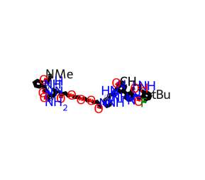 CNCC(=O)N[C@H](C(=O)N1C[C@@H](NC(=O)CCOCCOCCOCCC(=O)N2CCN/C(=C\C(=N)Nc3cc(-c4ccnc(NC(=O)c5c(F)cc(C(C)(C)C)cc5C=N)c4CO)cn(C)c3=O)C2)C[C@H]1C(N)=O)C1CCCCC1